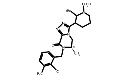 C[C@H]1Cn2c(nnc2C2CCCN(C(=O)O)C2C(C)(C)C)C(=O)N1Cc1cccc(C(F)(F)F)c1Cl